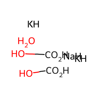 O.O=C(O)O.O=C(O)O.[KH].[KH].[NaH]